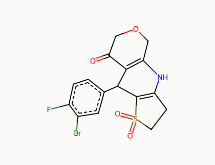 O=C1COCC2=C1C(c1ccc(F)c(Br)c1)C1=C(CCS1(=O)=O)N2